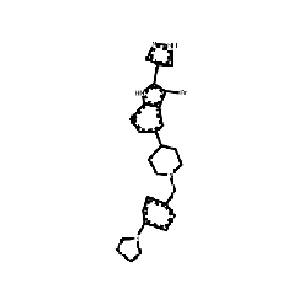 CC(C)c1c(-c2cn[nH]c2)[nH]c2ccc(C3CCN(Cc4ccc(N5CCCC5)cc4)CC3)cc12